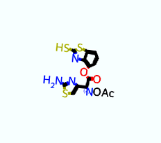 CC(=O)O/N=C(\C(=O)Oc1cccc2sc(S)nc12)c1csc(N)n1